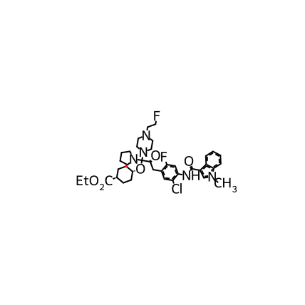 CCOC(=O)[C@H]1CC[C@H](OC(C(=O)Cc2cc(Cl)c(NC(=O)c3cn(C)c4ccccc34)cc2F)(N2CCCC2)N2CCN(CCF)CC2)CC1